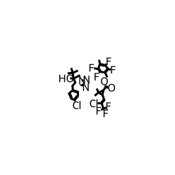 CC(C)(C)C(O)(CCc1ccc(Cl)cc1)Cn1cncn1.Cc1c(F)c(F)c(COC(=O)C2C(/C=C(\Cl)C(F)(F)F)C2(C)C)c(F)c1F